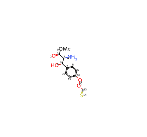 COC(=O)[C@@H](N)[C@H](O)c1ccc(OOC=S)cc1